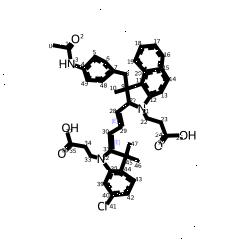 CC(=O)Nc1ccc(CC2(C)c3c(ccc4ccccc34)N(CCC(=O)O)C2/C=C/C=C2/N(CCC(=O)O)c3cc(Cl)ccc3C2(C)C)cc1